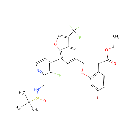 CCOC(=O)Cc1ccc(Br)cc1OCc1cc(-c2ccnc(CN[S+]([O-])C(C)(C)C)c2F)c2occ(C(F)(F)F)c2c1